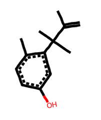 C=C(C)C(C)(C)c1cc(O)ccc1C